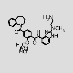 COc1cc(C(=O)N2CCCCc3ccccc32)ccc1C(=O)Nc1cccc2[nH]c(N(C)CCN)nc12.Cl.Cl